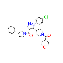 O=C(c1cnn(-c2ccc(Cl)cc2)c1C1CCN(C(=O)C2CCOCC2)CC1)N1CC[C@H](c2ccccc2)C1